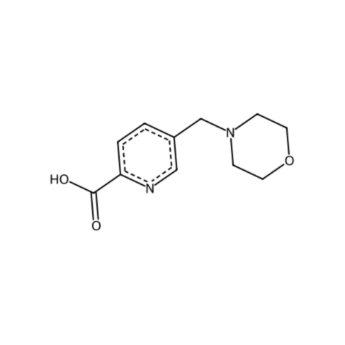 O=C(O)c1ccc(CN2CCOCC2)cn1